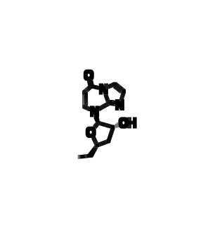 CC[C@@H]1C[C@@H](O)[C@H](n2ccc(=O)n3ccnc23)O1